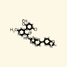 COc1ccc(Cl)cc1-c1cc(C)ncc1C(=O)Nc1nc2ncc(-c3ccc4ocnc4c3)nc2s1